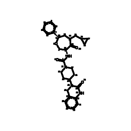 O=C(N[C@@H]1CO[C@H](c2ccccc2)CN(CC2CC2)C1=O)N1CCC(N2Cc3ccccc3NC2=O)CC1